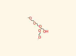 COCCOCCOC(CO)OCCOC